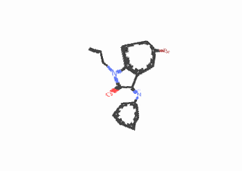 C=CCN1C(=O)/C(=N\c2ccccc2)c2cc(Br)ccc21